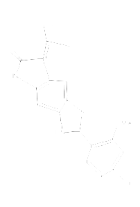 COc1cc(O)ccc1C1Nc2cc3c(cc2N1)C(=C(C)C)C(=O)N3